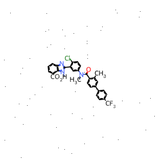 Cc1cc(-c2ccc(C(F)(F)F)cc2)ccc1C(=O)N(C)c1ccc(Cl)c(-c2nc3ccccc3n2C(=O)O)c1